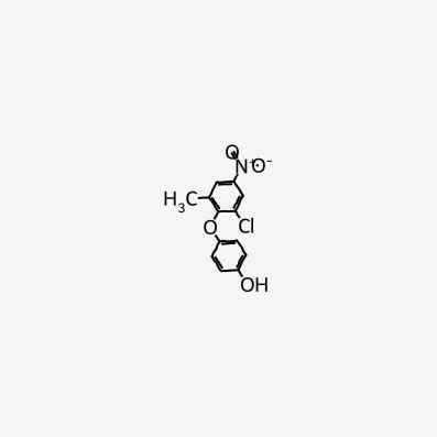 Cc1cc([N+](=O)[O-])cc(Cl)c1Oc1ccc(O)cc1